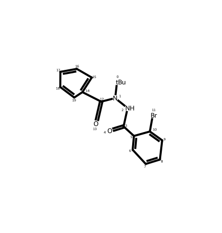 CC(C)(C)N(NC(=O)c1ccccc1Br)C(=O)c1ccccc1